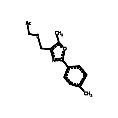 CC(=O)CSCc1nc(-c2ccc(C)cc2)oc1C